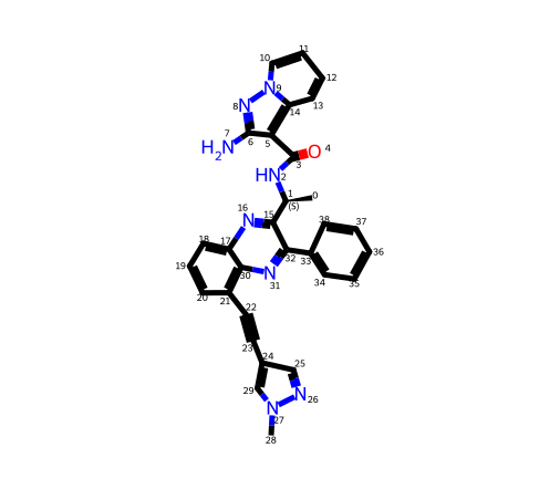 C[C@H](NC(=O)c1c(N)nn2ccccc12)c1nc2cccc(C#Cc3cnn(C)c3)c2nc1-c1ccccc1